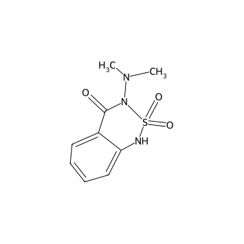 CN(C)N1C(=O)c2ccccc2NS1(=O)=O